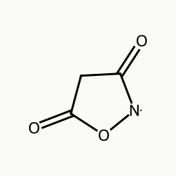 O=C1CC(=O)O[N]1